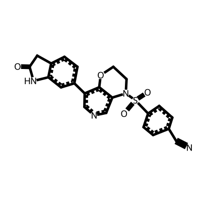 N#Cc1ccc(S(=O)(=O)N2CCOc3c(-c4ccc5c(c4)NC(=O)C5)cncc32)cc1